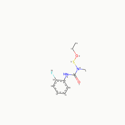 CCOSN(C)C(=O)Nc1ccccc1F